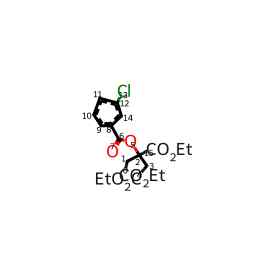 CCOC(=O)CC(CC(=O)OCC)(OC(=O)c1cccc(Cl)c1)C(=O)OCC